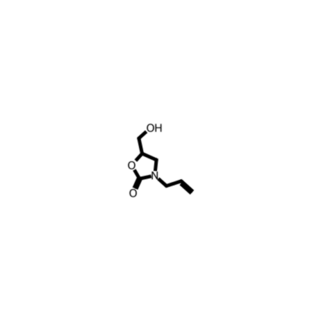 C=CCN1CC(CO)OC1=O